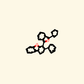 c1ccc(-c2ccc3c(oc4ccccc43)c2-c2oc(-c3ccccc3)c3ccccc23)cc1